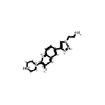 NCCn1cc(-c2ccc3nc(N4CCNCC4)c(Cl)cc3c2)nn1